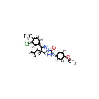 C=C(C)CC1(C)CN(C(=O)Nc2ccc(OC(F)(F)F)cc2)N=C1c1ccc(C(F)(F)F)c(Cl)c1